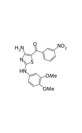 COc1ccc(Nc2nc(N)c(C(=O)c3cccc([N+](=O)[O-])c3)s2)cc1OC